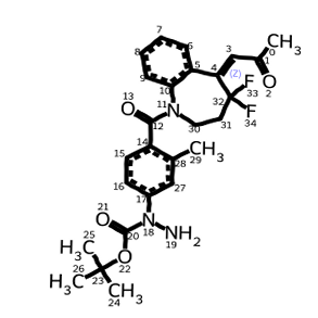 CC(=O)/C=C1/c2ccccc2N(C(=O)c2ccc(N(N)C(=O)OC(C)(C)C)cc2C)CCC1(F)F